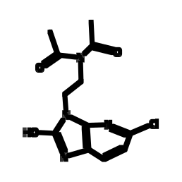 CC(=O)N(CCn1c(O)nc2ccc(Cl)nc21)C(C)=O